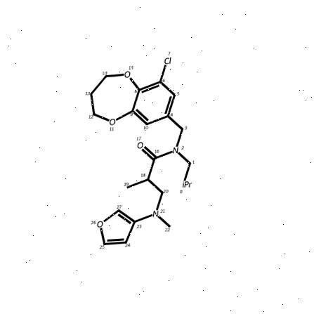 CC(C)CN(Cc1cc(Cl)c2c(c1)OCCCO2)C(=O)C(C)CN(C)c1ccoc1